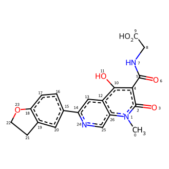 Cn1c(=O)c(C(=O)NCC(=O)O)c(O)c2cc(-c3ccc4c(c3)CCO4)ncc21